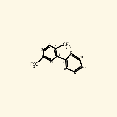 FC(F)(F)c1ccc(C(F)(F)F)c(-c2ccccc2)c1